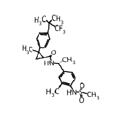 Cc1cc([C@@H](C)NC(=O)C2CC2(C)c2ccc(C(C)(C)C(F)(F)F)cc2)ccc1NS(C)(=O)=O